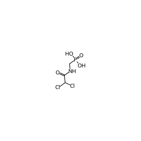 O=C(NCP(=O)(O)O)C(Cl)Cl